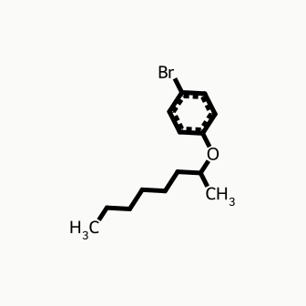 CCCCCCC(C)Oc1ccc(Br)cc1